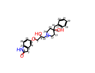 O=C1Cc2cc(OC[C@H](O)CN3CCC(O)(Cc4ccccc4)CC3)ccc2N1